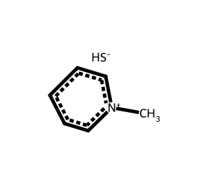 C[n+]1ccccc1.[SH-]